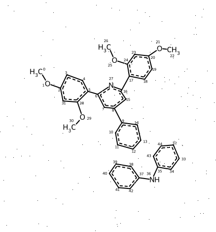 COc1ccc(-c2cc(-c3ccccc3)cc(-c3ccc(OC)cc3OC)n2)c(OC)c1.c1ccc(Nc2ccccc2)cc1